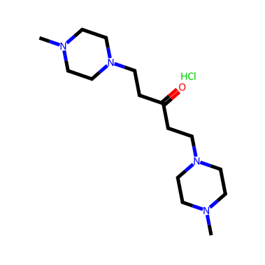 CN1CCN(CCC(=O)CCN2CCN(C)CC2)CC1.Cl